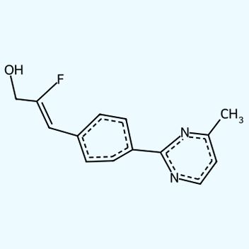 Cc1ccnc(-c2ccc(C=C(F)CO)cc2)n1